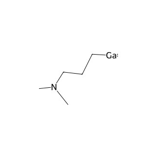 CN(C)CC[CH2][Ga]